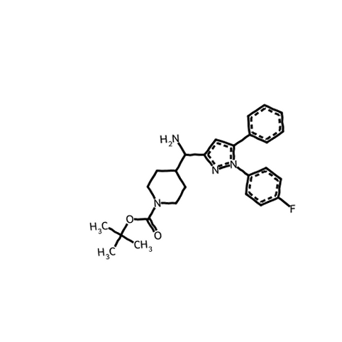 CC(C)(C)OC(=O)N1CCC(C(N)c2cc(-c3ccccc3)n(-c3ccc(F)cc3)n2)CC1